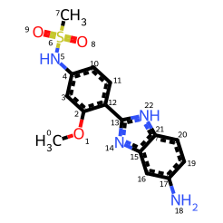 COc1cc(NS(C)(=O)=O)ccc1-c1nc2cc(N)ccc2[nH]1